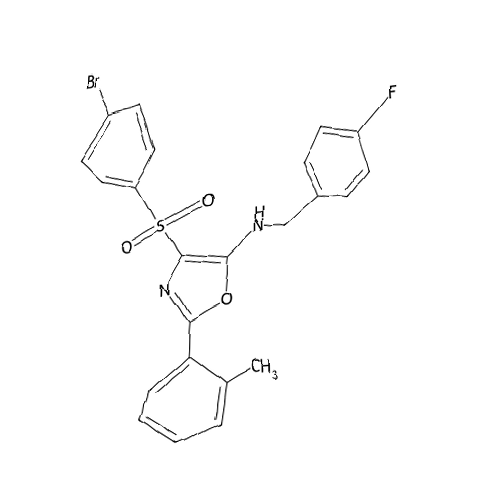 Cc1ccccc1-c1nc(S(=O)(=O)c2ccc(Br)cc2)c(NCc2ccc(F)cc2)o1